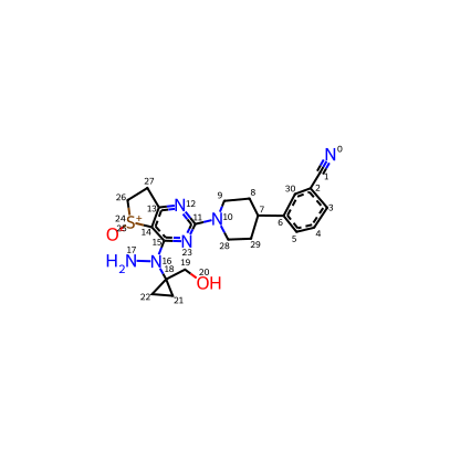 N#Cc1cccc(C2CCN(c3nc4c(c(N(N)C5(CO)CC5)n3)[S+]([O-])CC4)CC2)c1